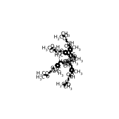 C=C(C)C(=O)OCCNC(=O)Oc1ccc(CCC[Si](C)(C)O[Si](C)(CCCc2ccc(OC(=O)NCCOC(=O)C(=C)C)c(C)c2)O[Si](C)(CCCc2ccc(OC(=O)NCCOC(=O)C(=C)C)c(C)c2)O[Si](C)(CCCc2ccc(OC(=O)NCCOC(=O)C(=C)C)c(C)c2)OC)cc1C